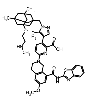 CNCCOC12CC3(C)CC(C)(CC(Cn4ncc(-c5ccc(N6CCc7cc(OC)cc(C(=O)Nc8nc9ccccc9s8)c7C6)nc5C(=O)O)c4C)(C3)C1)C2